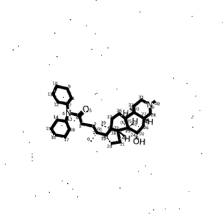 C[C@H](CCC(=O)N(C1CCCCC1)C1CCCCC1)[C@H]1CC[C@H]2[C@@H]3[C@@H](O)C[C@@H]4CN(C)CC[C@]4(C)[C@H]3CC[C@]12C